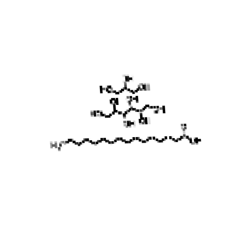 CCCCCCCCCCCCCCCC(=O)O.OCC(O)C(O)C(O)C(O)CO.OCC(O)CO